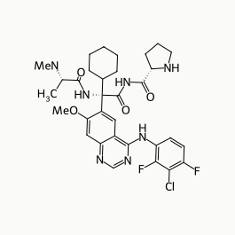 CN[C@@H](C)C(=O)N[C@](C(=O)NC(=O)[C@@H]1CCCN1)(c1cc2c(Nc3ccc(F)c(Cl)c3F)ncnc2cc1OC)C1CCCCC1